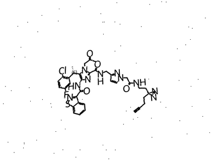 C#CCCC1(CCNC(=O)Cn2ccc(CNC(=O)c3nc(NC(=O)c4nsc5ccccc45)c([C@@H](C)c4cc(F)ccc4Cl)n3CC(C)=O)n2)N=N1